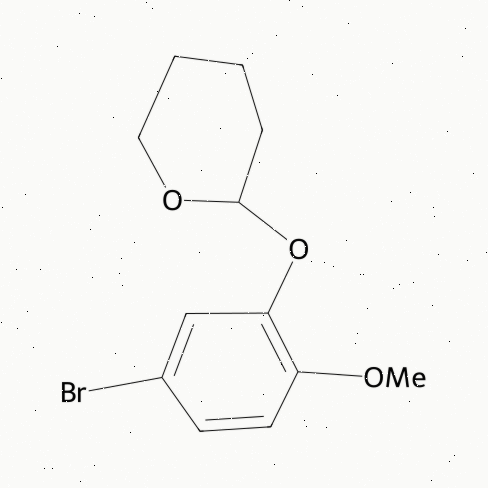 COc1ccc(Br)cc1OC1CCCCO1